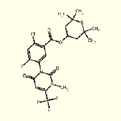 Cn1c(C(F)(F)F)cc(=O)n(-c2cc(C(=O)OC3CC(C)(C)SC(C)(C)C3)c(Cl)cc2F)c1=O